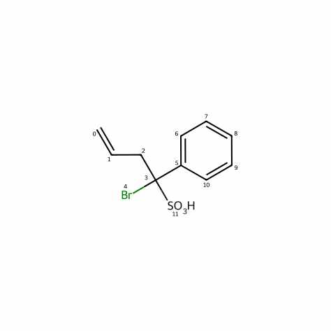 C=CCC(Br)(c1ccccc1)S(=O)(=O)O